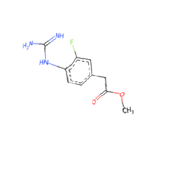 COC(=O)Cc1ccc(NC(=N)N)c(F)c1